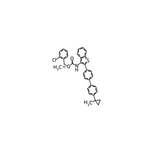 C[C@@H](OC(=O)Nc1c(-c2ccc(-c3ccc(C4(C)CC4)cc3)cc2)sc2ccccc12)c1ccccc1Cl